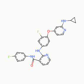 O=C(Nc1ccc(F)cc1)c1cccnc1Nc1ccc(Oc2ccnc(NC3CC3)c2)c(F)c1